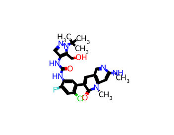 CNc1cc2c(cn1)cc(-c1cc(NC(=O)Nc3cnn(C(C)(C)C)c3CO)c(F)cc1Cl)c(=O)n2C